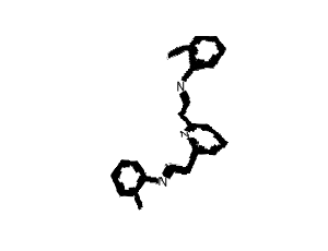 Cc1ccccc1N=CCc1cccc(CC=Nc2ccccc2C)n1